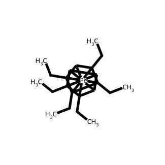 CC[C]12[CH]3[CH]4[CH]5[C]1(CC)[Fe]43521678[CH]2[C]1(CC)[C]6(CC)[C]7(CC)[C]28CC